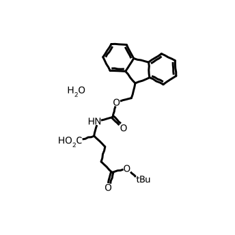 CC(C)(C)OC(=O)CCC(NC(=O)OCC1c2ccccc2-c2ccccc21)C(=O)O.O